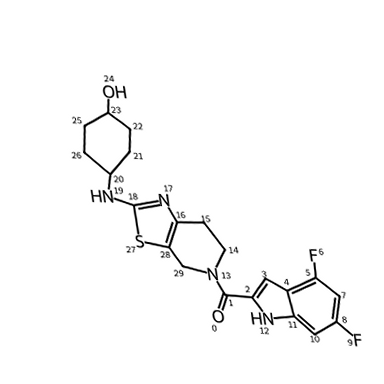 O=C(c1cc2c(F)cc(F)cc2[nH]1)N1CCc2nc(NC3CCC(O)CC3)sc2C1